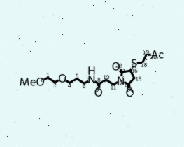 COCCOCCCNC(=O)CCN1C(=O)CC(SCCC(C)=O)C1=O